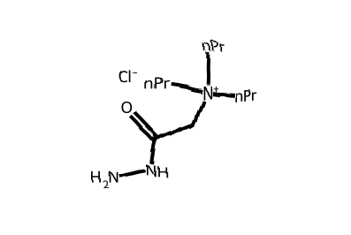 CCC[N+](CCC)(CCC)CC(=O)NN.[Cl-]